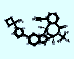 [2H]C([2H])([2H])N1C(=O)c2cccc(C#C)c2[C@H]2C[C@@H]1c1nc3ccc(-c4cnc(C5(N)CCC5)s4)cc3n12